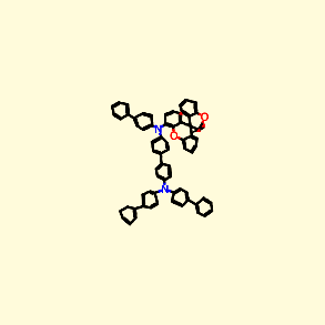 C1=CCCC(c2ccc(N(c3ccc(-c4ccccc4)cc3)c3ccc(-c4ccc(N(c5ccc(-c6ccccc6)cc5)c5cccc6c5Oc5ccccc5C65c6ccccc6Oc6ccccc65)cc4)cc3)cc2)=C1